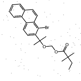 CCC(C)(C)C(=O)OCOC(C)(C)c1ccc2c(ccc3ccccc32)c1Br